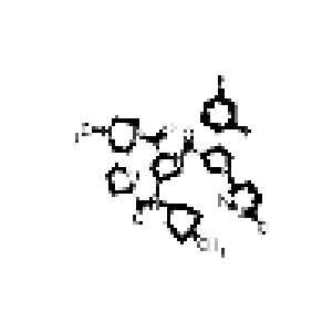 CC1CCC(N(C(=O)[C@@H]2CCCO2)[C@H]2C[C@@H](C(=O)N3CCN(C)CC3)N(C(=O)[C@@H]3CN(c4ccc(Cl)nn4)C[C@H]3c3ccc(F)cc3F)C2)CC1